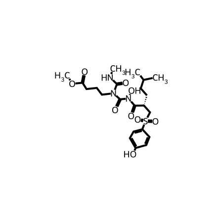 CNC(=O)N(CCCC(=O)OC)C(=O)N(O)C(=O)[C@H](CCC(C)C)CS(=O)(=O)c1ccc(O)cc1